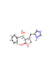 Cn1cncc1C[C@H]1COC(=O)C1[C@@H](O)c1ccccc1